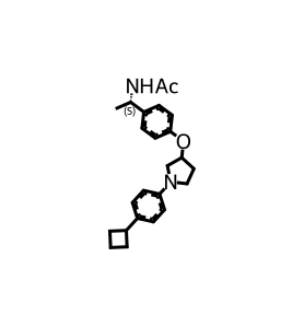 CC(=O)N[C@@H](C)c1ccc(OC2CCN(c3ccc(C4CCC4)cc3)C2)cc1